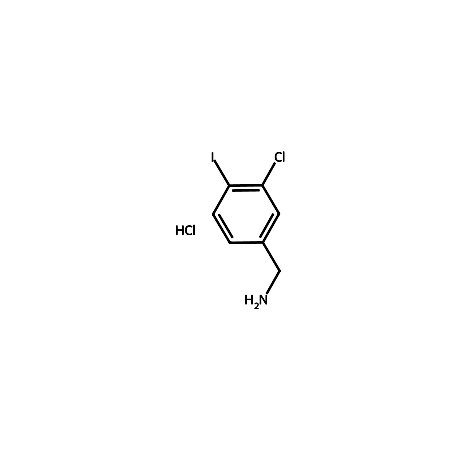 Cl.NCc1ccc(I)c(Cl)c1